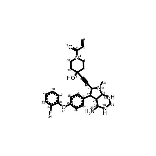 C=CC(=O)N1CCC(O)(C#CC2C(c3ccc(Oc4ccccc4F)cc3)C3C(N)NCNC3N2C)CC1